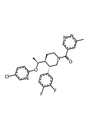 Cc1cc(C(=O)N2CC[C@H]([C@H](C)Oc3ccc(Cl)cn3)[C@@H](c3ccc(F)c(F)c3)C2)cnn1